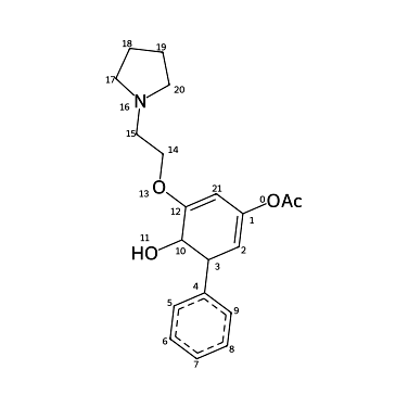 CC(=O)OC1=CC(c2ccccc2)C(O)C(OCCN2CCCC2)=C1